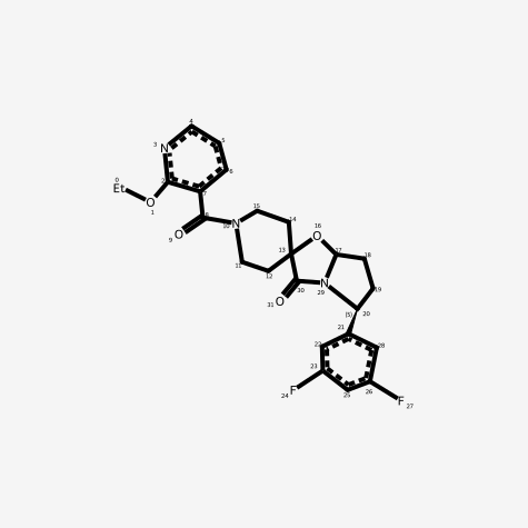 CCOc1ncccc1C(=O)N1CCC2(CC1)OC1CC[C@@H](c3cc(F)cc(F)c3)N1C2=O